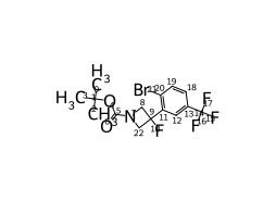 CC(C)(C)OC(=O)N1CC(F)(c2cc(C(F)(F)F)ccc2Br)C1